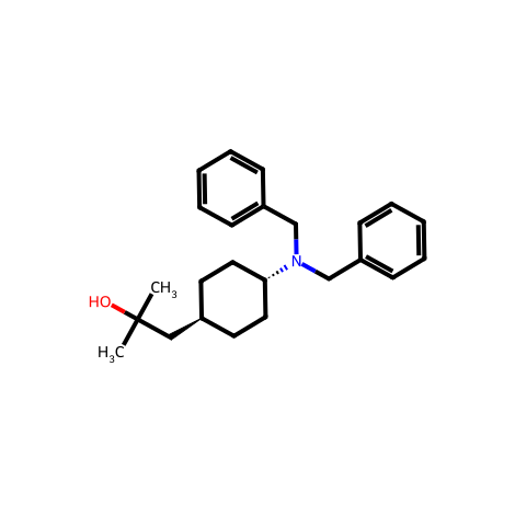 CC(C)(O)C[C@H]1CC[C@H](N(Cc2ccccc2)Cc2ccccc2)CC1